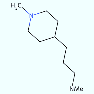 CNCCCC1CCN(C)CC1